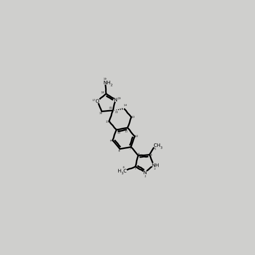 Cc1n[nH]c(C)c1-c1ccc2c(c1)CC[C@@]1(COC(N)=N1)C2